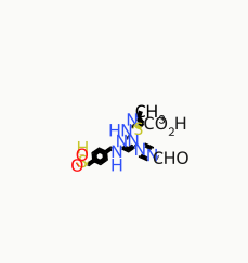 Cc1nc(Nc2nc(NCc3ccc(C[SH](=O)=O)cc3)cc(N3CCN(C=O)CC3)n2)sc1C(=O)O